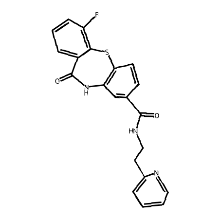 O=C(NCCc1ccccn1)c1ccc2c(c1)NC(=O)c1cccc(F)c1S2